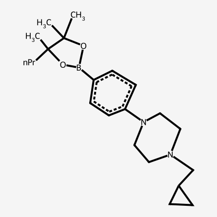 CCCC1(C)OB(c2ccc(N3CCN(CC4CC4)CC3)cc2)OC1(C)C